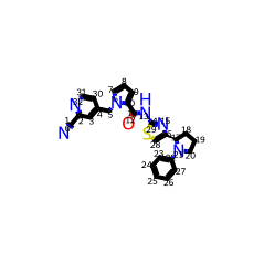 N#Cc1cc(Cn2cccc2C(=O)Nc2nc([C@H]3CCCN3c3ccccc3)cs2)ccn1